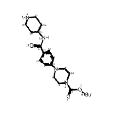 CC(C)(C)OC(=O)N1CCN(c2ccc(C(=O)NC3CCNCC3)cc2)CC1